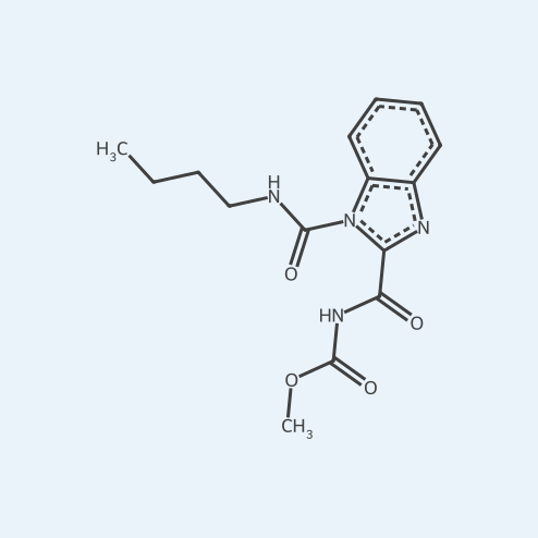 CCCCNC(=O)n1c(C(=O)NC(=O)OC)nc2ccccc21